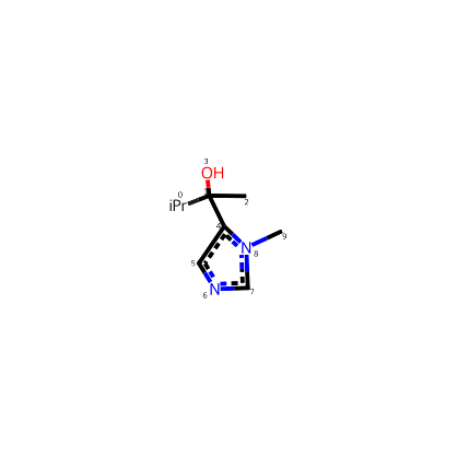 CC(C)C(C)(O)c1cncn1C